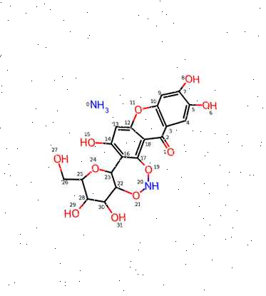 N.O=c1c2cc(O)c(O)cc2oc2cc(O)c3c(c12)ONOC1C3OC(CO)C(O)C1O